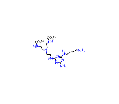 NCCCCNc1nc(N)nc(NCCN(CCNC(=O)O)CCNC(=O)O)n1